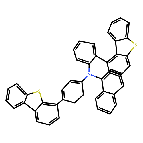 c1cc2sc3ccccc3c2c(-c2ccccc2N(C2=CC=C(c3cccc4c3sc3ccccc34)CC2)c2cccc3ccccc23)c#1